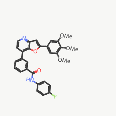 COc1cc(-c2cc3nccc(-c4cccc(C(=O)Nc5ccc(F)cc5)c4)c3o2)cc(OC)c1OC